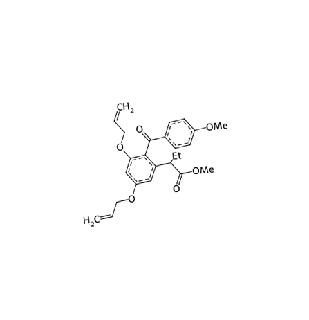 C=CCOc1cc(OCC=C)c(C(=O)c2ccc(OC)cc2)c(C(CC)C(=O)OC)c1